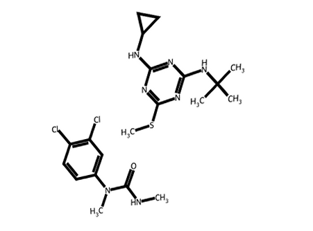 CNC(=O)N(C)c1ccc(Cl)c(Cl)c1.CSc1nc(NC2CC2)nc(NC(C)(C)C)n1